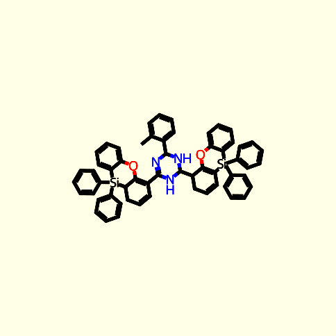 Cc1ccccc1C1N=C(C2=C3Oc4ccccc4[Si](c4ccccc4)(c4ccccc4)C3CC=C2)NC(C2CC=CC3=C2Oc2ccccc2[Si]3(c2ccccc2)c2ccccc2)N1